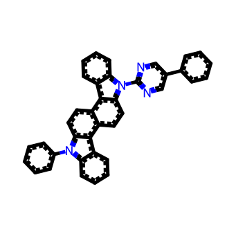 c1ccc(-c2cnc(-n3c4ccccc4c4c5ccc6c(c5ccc43)c3ccccc3n6-c3ccccc3)nc2)cc1